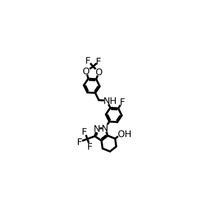 OC1CCCc2c(C(F)(F)F)nn(-c3ccc(F)c(NCc4ccc5c(c4)OC(F)(F)O5)c3)c21